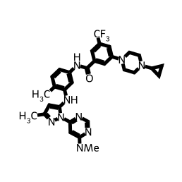 CNc1cc(-n2nc(C)cc2Nc2cc(NC(=O)c3cc(N4CCN(C5CC5)CC4)cc(C(F)(F)F)c3)ccc2C)ncn1